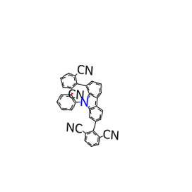 N#Cc1cccc(C#N)c1-c1ccc2c3cccc(-c4c(C#N)cccc4C#N)c3n(-c3ccccc3)c2c1